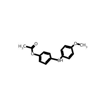 COc1ccc(Bc2ccc(OC(C)=O)cc2)cc1